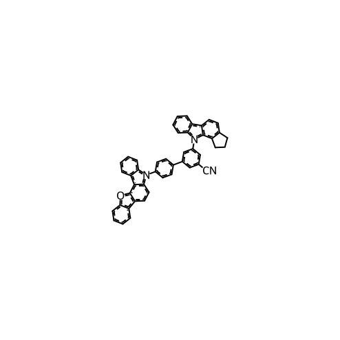 N#Cc1cc(-c2ccc(-n3c4ccccc4c4c5oc6ccccc6c5ccc43)cc2)cc(-n2c3ccccc3c3ccc4c(c32)CCC4)c1